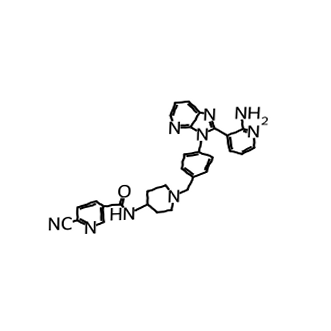 N#Cc1ccc(C(=O)NC2CCN(Cc3ccc(-n4c(-c5cccnc5N)nc5cccnc54)cc3)CC2)cn1